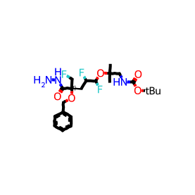 CC(C)(C)OC(=O)NCC(C)(C)OC(F)C(F)C[C@@](CF)(OCc1ccccc1)C(=O)NN